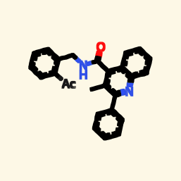 CC(=O)c1ccccc1CNC(=O)c1c(C)c(-c2ccccc2)nc2ccccc12